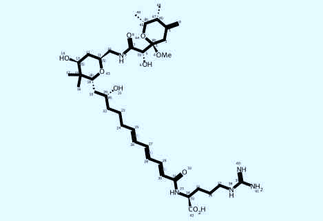 C=C1C[C@](OC)([C@H](O)C(=O)NC[C@@H]2C[C@H](O)C(C)(C)[C@@H](C[C@H](O)CCC/C=C/C=C/C=C/C(=O)N[C@@H](CCCNC(=N)N)C(=O)O)O2)O[C@H](C)[C@@H]1C